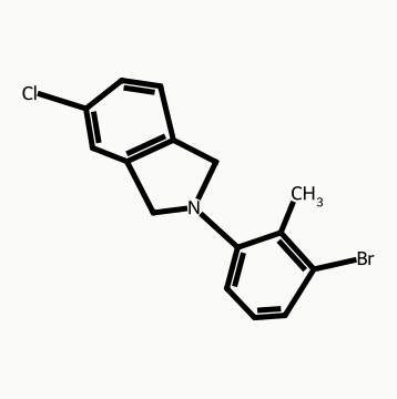 Cc1c(Br)cccc1N1Cc2ccc(Cl)cc2C1